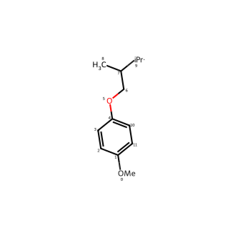 COc1ccc(OCC(C)[C](C)C)cc1